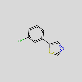 Clc1cccc(-c2cn[c]s2)c1